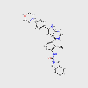 Cc1c(NC(=O)N2CC3CCCCC3C2)cccc1-c1ncnc2[nH]c(-c3ccc(N4CCOCC4)cc3)cc12